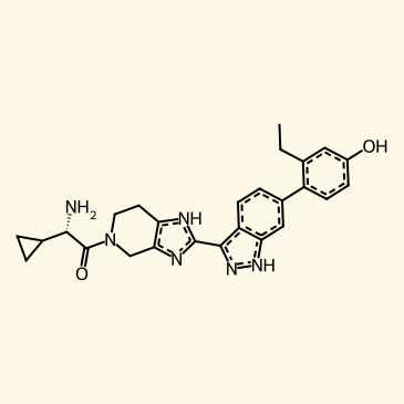 CCc1cc(O)ccc1-c1ccc2c(-c3nc4c([nH]3)CCN(C(=O)[C@@H](N)C3CC3)C4)n[nH]c2c1